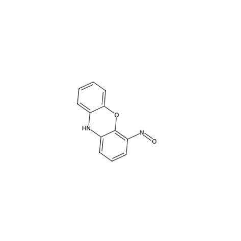 O=Nc1cccc2c1Oc1ccccc1N2